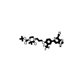 Cn1cnc2c(C#N)nc(-c3ccc(OCCCN4CCN(C(=O)OC(C)(C)C)C(C)(C)C4=O)c(C(F)(F)F)c3)cc21